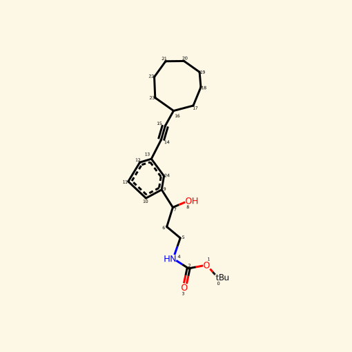 CC(C)(C)OC(=O)NCCC(O)c1cccc(C#CC2CCCCCCC2)c1